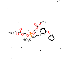 CC(C)(C)COC(=O)OCOP(=O)(OCOC(=O)OCC(C)(C)C)[C@H](CCCc1cccc(Oc2ccccc2)c1)S(=O)(=O)O